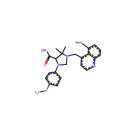 COc1cccc2nccc(CN3CN(c4ccc(SC(F)(F)F)cc4)C(C(=O)C=O)C3(C)C)c12